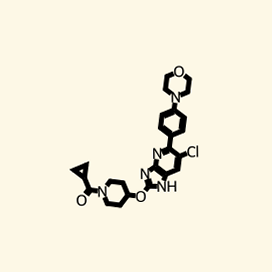 O=C(C1CC1)N1CCC(Oc2nc3nc(-c4ccc(N5CCOCC5)cc4)c(Cl)cc3[nH]2)CC1